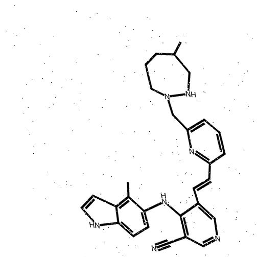 Cc1c(Nc2c(C#N)cncc2/C=C/c2cccc(CN3CCCC(C)CN3)n2)ccc2[nH]ccc12